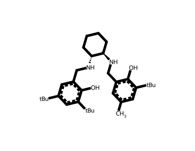 Cc1cc(CN[C@@H]2CCCC[C@H]2NCc2cc(C(C)(C)C)cc(C(C)(C)C)c2O)c(O)c(C(C)(C)C)c1